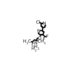 CC(C)C[C@](C)(N)COc1cnc(-c2ccnc(Cl)c2)cc1C(F)F